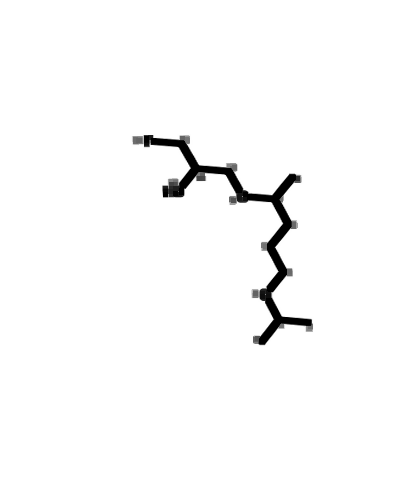 CC(C)OCCCC(C)OCC(O)CF